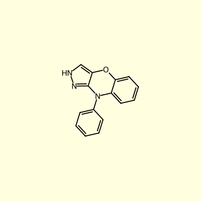 c1ccc(N2c3ccccc3Oc3c[nH]nc32)cc1